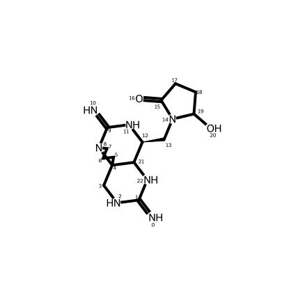 N=C1NCC23CCCN2C(=N)N[C@@H](CN2C(=O)CCC2O)C3N1